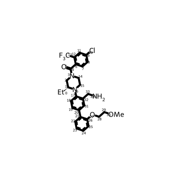 CC[C@@H]1CN(C(=O)c2ccc(Cl)cc2C(F)(F)F)CCN1c1ccc(-c2ccccc2OCCOC)cc1CN